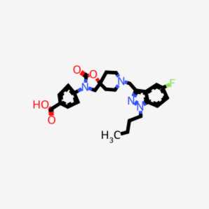 CCCCn1nc(CN2CCC3(CC2)CN(c2ccc(C(=O)O)cc2)C(=O)O3)c2cc(F)ccc21